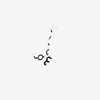 N#CCC1CCC(n2c(CC(=O)NCCOCCOCCN)nc3cnc4[nH]ccc4c32)CC1